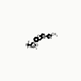 Cn1cc(-n2ccc(=O)c(Cc3cccc(N(CC(N)C(F)(F)F)C(=O)O)c3)n2)cn1